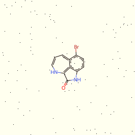 O=C1Nc2ccc(Br)c3c2=C1NC=CC=3